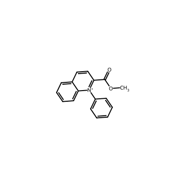 COC(=O)c1ccc2ccccc2[n+]1-c1ccccc1